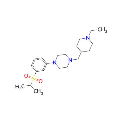 CCN1CCC(CN2CCN(c3cccc(S(=O)(=O)C(C)C)c3)CC2)CC1